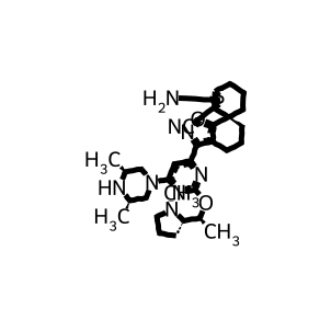 C[C@H](Oc1nc(-c2noc3c2CCC[C@@]32CCCc3sc(N)c(C#N)c32)cc(N2C[C@H](C)N[C@@H](C)C2)n1)[C@@H]1CCCN1C